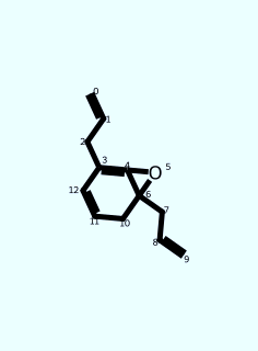 C=CCC1=C2OC2(CC=C)CC=C1